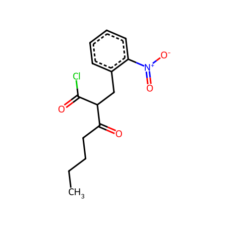 CCCCC(=O)C(Cc1ccccc1[N+](=O)[O-])C(=O)Cl